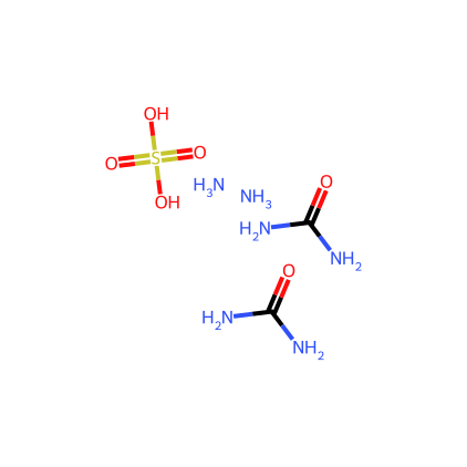 N.N.NC(N)=O.NC(N)=O.O=S(=O)(O)O